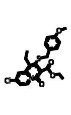 CCOC(=O)c1c(SCc2ccc(OC)cc2)c(CC)c2cc(Cl)ccn2c1=O